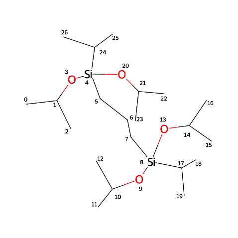 CC(C)O[Si](CCC[Si](OC(C)C)(OC(C)C)C(C)C)(OC(C)C)C(C)C